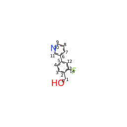 OCc1ccc(-c2cccnc2)cc1F